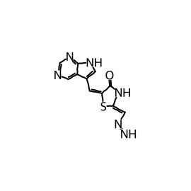 N=NC=c1[nH]c(=O)c(=Cc2c[nH]c3ncncc23)s1